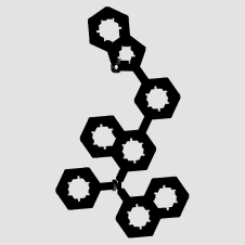 c1ccc(N(c2cccc3ccccc23)c2ccc(-c3cccc(-c4cc5ccccc5o4)c3)c3ccccc23)cc1